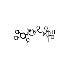 COc1cc(Cl)c(Cl)cc1N1CCN(C(=O)CC[C@@]2(C)NC(=O)NC2=O)C[C@@H]1C